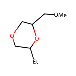 CCC1COCC(COC)O1